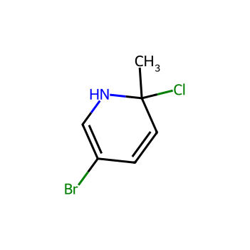 CC1(Cl)C=CC(Br)=CN1